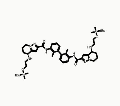 Cc1c(NC(=O)c2cc3n(n2)CCC[C@@H]3NCCO[Si](C)(C)C(C)(C)C)cccc1-c1cccc(NC(=O)c2cc3n(n2)CCC[C@@H]3NCCO[Si](C)(C)C(C)(C)C)c1C